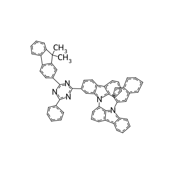 CC1(C)c2ccccc2-c2ccc(-c3nc(-c4ccccc4)nc(-c4ccc5c6ccccc6n(-c6cccc7c8ccccc8n(-c8ccc9ccccc9c8)c67)c5c4)n3)cc21